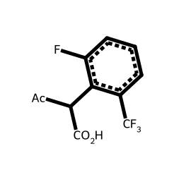 CC(=O)C(C(=O)O)c1c(F)cccc1C(F)(F)F